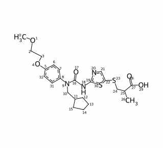 COCCOc1ccc(N(CC2CCCC2)C(=O)Nc2ncc(SCC(C)C(=O)O)s2)cc1